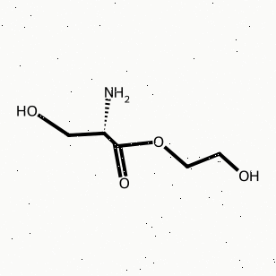 N[C@@H](CO)C(=O)OCCO